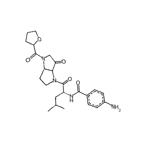 CC(C)CC(NC(=O)c1ccc(N)cc1)C(=O)N1CCC2C1C(=O)CN2C(=O)C1CCCO1